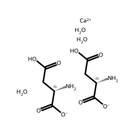 N[C@@H](CC(=O)O)C(=O)[O-].N[C@@H](CC(=O)O)C(=O)[O-].O.O.O.[Ca+2]